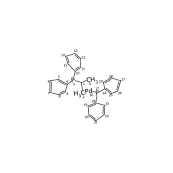 CC(C)P(c1ccccc1)c1ccccc1.[Pd][P](c1ccccc1)c1ccccc1